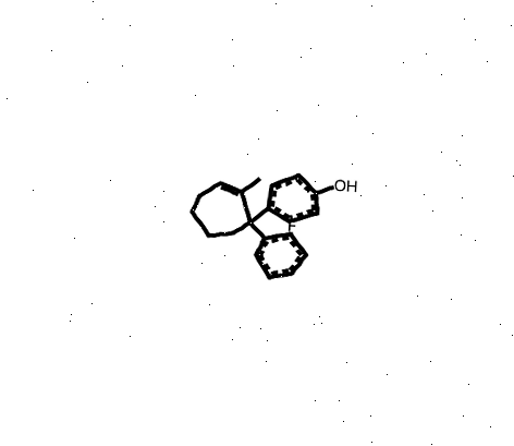 CC1=CCCCCC1(c1ccc(O)cc1)c1ccccc1F